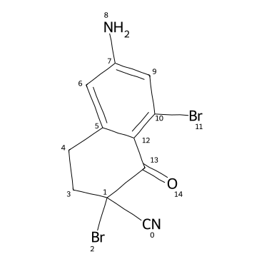 N#CC1(Br)CCc2cc(N)cc(Br)c2C1=O